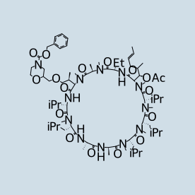 C/C=C/CC(C)[C@@H](OC(C)=O)[C@H]1C(=O)N[C@@H](CC)C(=O)N(C)[C@H](C)C(=O)N(C)[C@@H]([C@H](C)COCC2CN(C(=O)OCc3ccccc3)CCO2)C(=O)N[C@@H](C(C)C)C(=O)N(C)[C@@H](CC(C)C)C(=O)N[C@@H](C)C(=O)N[C@H](C)C(=O)N(C)[C@@H](CC(C)C)C(=O)N(C)[C@@H](CC(C)C)C(=O)N(C)[C@@H](C(C)C)C(=O)N1C